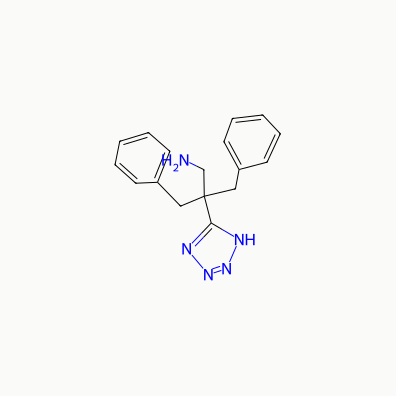 NCC(Cc1ccccc1)(Cc1ccccc1)c1nnn[nH]1